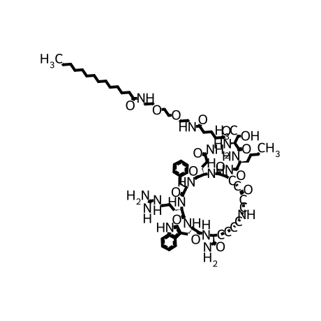 CCCCCCCCCCCCCC(=O)NCCOCCOCCNC(=O)CCCC(=O)N[C@H](C(=O)N[C@@H](CCCC)C(=O)N[C@H]1CCC(=O)CCNCCCC[C@@H](C(N)=O)NC(=O)[C@H](Cc2c[nH]c3ccccc23)NC(=O)[C@H](CCCNC(=N)N)NC(=O)[C@@H](Cc2ccccc2)NC(=O)[C@H](CCC(N)=O)NC1=O)[C@@H](C)O